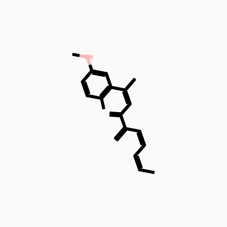 C=C(/C=C\C=C/C)C(=C)/C=C(/C)c1cc(BC)ccc1C